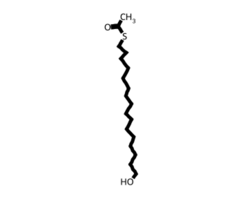 CC(=O)SCCCCCCCCCCCCCCCCO